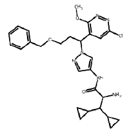 COc1nnc(Cl)cc1C(CCOCc1ccccc1)n1cc(NC(=O)C(N)C(C2CC2)C2CC2)cn1